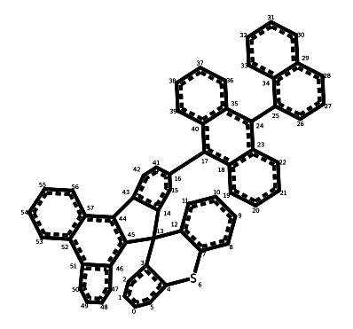 c1ccc2c(c1)Sc1ccccc1C21c2cc(-c3c4ccccc4c(-c4cccc5ccccc45)c4ccccc34)ccc2-c2c1c1ccccc1c1ccccc21